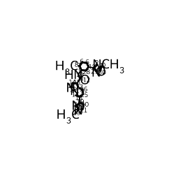 Cc1nc(-c2ccc(C)c(NC(=O)c3cnn4cc(-c5ccn(C)n5)ccc34)c2)no1